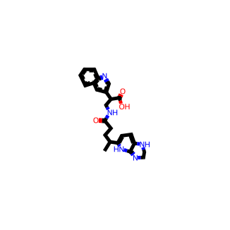 CC(CCC(=O)NCC(C(=O)O)c1cnc2ccccc2c1)C1=CC=C2NCCN=C2N1